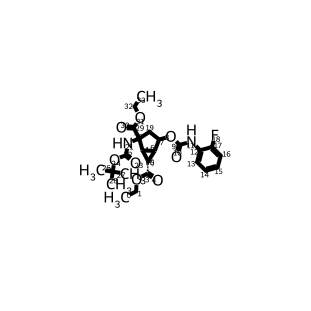 CCOC(=O)[C@H]1C2C(OC(=O)Nc3ccccc3F)CC(NC(=O)OC(C)(C)C)(C(=O)OCC)C21